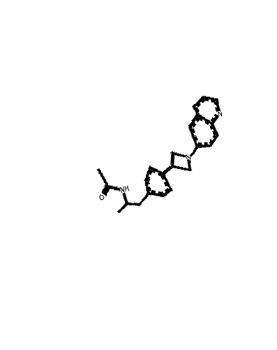 CC(=O)NC(C)Cc1ccc(C2CN(c3ccc4ncccc4c3)C2)cc1